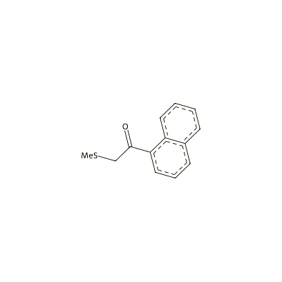 CSCC(=O)c1cccc2ccccc12